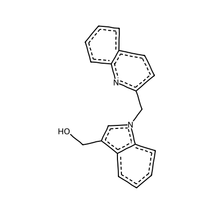 OCc1cn(Cc2ccc3ccccc3n2)c2ccccc12